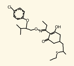 CCSC(C)CC1CC(=O)C(C(CC)=NOCC(Oc2ccc(Cl)cc2)C(C)C)=C(O)C1